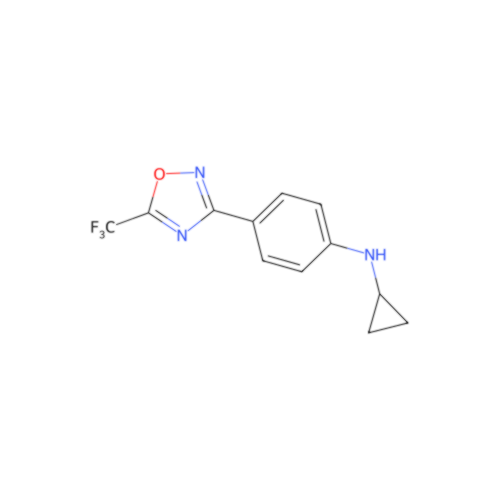 FC(F)(F)c1nc(-c2ccc(NC3CC3)cc2)no1